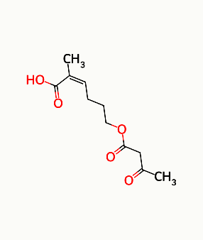 CC(=O)CC(=O)OCCCC=C(C)C(=O)O